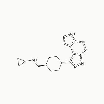 c1cc2c(ncn3nnc([C@H]4CC[C@H](CNC5CC5)CC4)c23)[nH]1